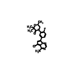 C[C@H]1CN(c2cc(-c3cc(Cl)c4c(N)ncnn34)ccc2F)C(=O)C(C)(C)O1